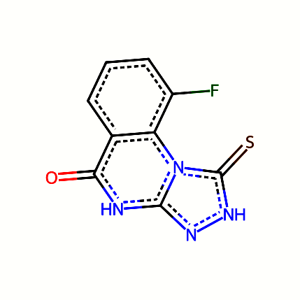 O=c1[nH]c2n[nH]c(=S)n2c2c(F)cccc12